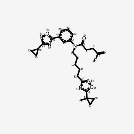 C=C(F)CCC(=O)N(CCCCCc1noc(C2(C)CC2)n1)c1cccc(-c2nc(C3CC3)no2)c1